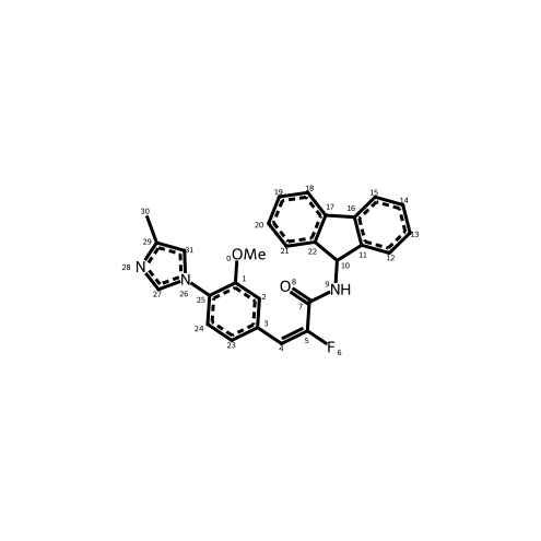 COc1cc(/C=C(/F)C(=O)NC2c3ccccc3-c3ccccc32)ccc1-n1cnc(C)c1